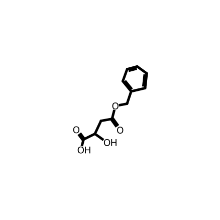 O=C(CC(O)C(=O)O)OCc1ccccc1